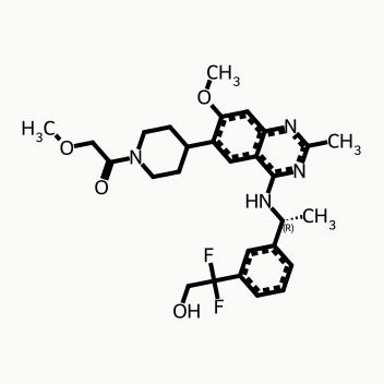 COCC(=O)N1CCC(c2cc3c(N[C@H](C)c4cccc(C(F)(F)CO)c4)nc(C)nc3cc2OC)CC1